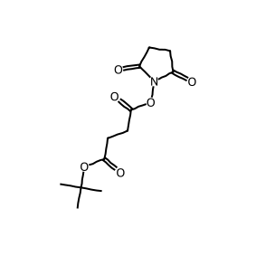 CC(C)(C)OC(=O)CCC(=O)ON1C(=O)CCC1=O